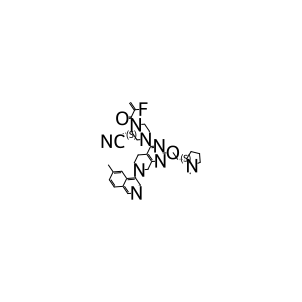 C=C(F)C(=O)N1CCN(c2nc(OC[C@@H]3CCCN3C)nc3c2CCN(c2cncc4ccc(C)cc24)C3)C[C@@H]1CC#N